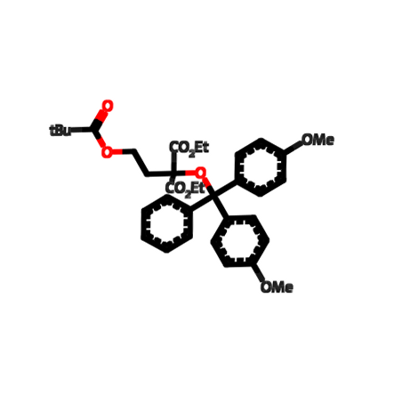 CCOC(=O)C(CCOC(=O)C(C)(C)C)(OC(c1ccccc1)(c1ccc(OC)cc1)c1ccc(OC)cc1)C(=O)OCC